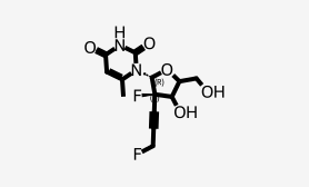 Cc1cc(=O)[nH]c(=O)n1[C@@H]1OC(CO)C(O)[C@]1(F)C#CCF